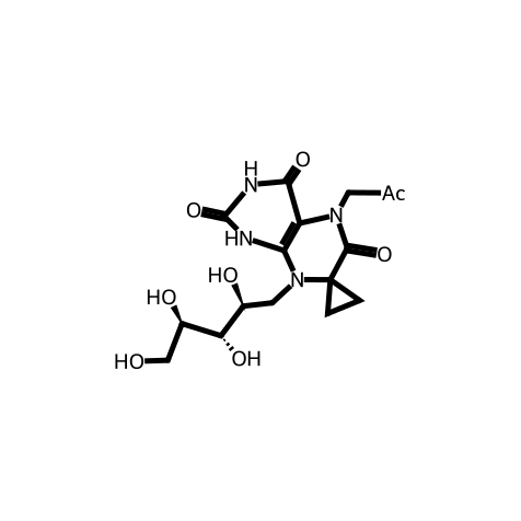 CC(=O)CN1C(=O)C2(CC2)N(C[C@H](O)[C@H](O)[C@H](O)CO)c2[nH]c(=O)[nH]c(=O)c21